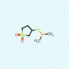 CP(C)SC1CCS(=O)(=O)C1